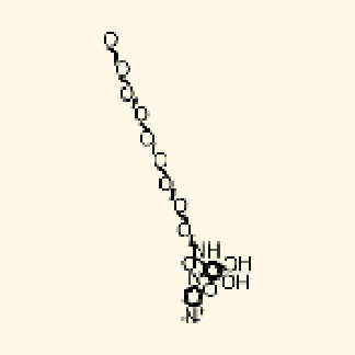 C[N+](C)=c1ccc2nc3c(C(=O)NCCOCCOCCOCCOCCOCCOCCOCCOCCC=O)cc(O)c(O)c3oc-2c1